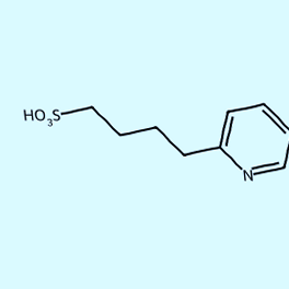 O=S(=O)(O)CCCCc1ccccn1